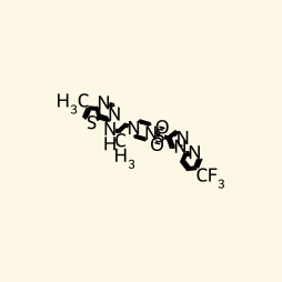 Cc1csc2c(NC(C)CN3CCN(S(=O)(=O)c4cnn(-c5ccc(C(F)(F)F)cn5)c4)CC3)ncnc12